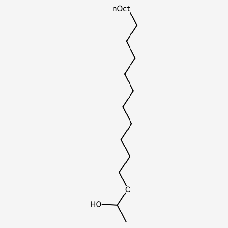 CCCCCCCCCCCCCCCCCCOC(C)O